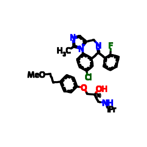 COCCc1ccc(OC[C@@H](O)CNC(C)C)cc1.Cc1ncc2n1-c1ccc(Cl)cc1C(c1ccccc1F)=NC2